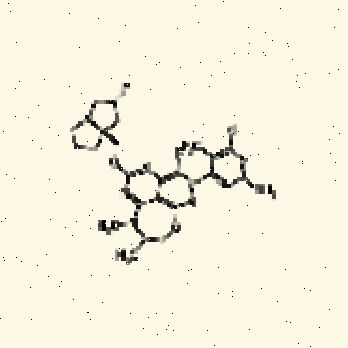 CC1COc2nc(-c3cc(N)cc(Cl)c3C(F)(F)F)c(F)c3nc(OC[C@@]45CCCN4C[C@H](F)C5)nc(c23)N1C